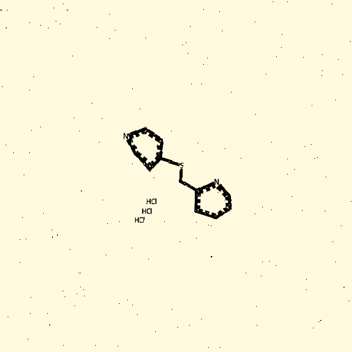 Cl.Cl.Cl.c1ccc(CSc2ccncc2)nc1